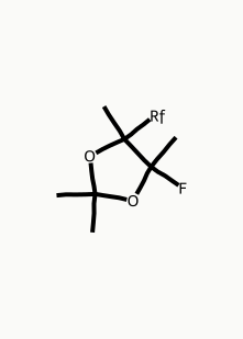 CC1(C)OC(C)(F)[C](C)([Rf])O1